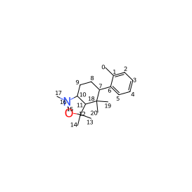 Cc1ccccc1C1CCC2C(C(C)(C)ON2C)C1(C)C